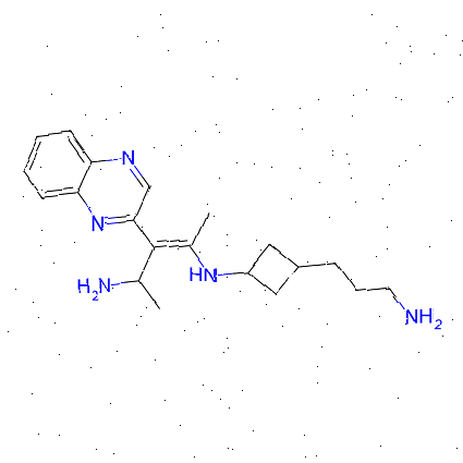 C/C(NC1CC(CCCN)C1)=C(\c1cnc2ccccc2n1)C(C)N